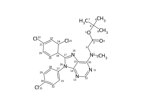 CN(CC(=O)OC(C)(C)C)c1ncnc2c1nc(C1C=CC(Cl)=CC1Cl)n2-c1ccc(Cl)cc1